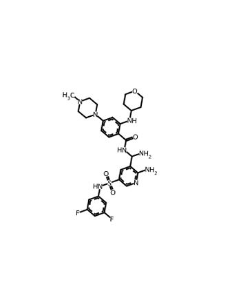 CN1CCN(c2ccc(C(=O)NC(N)c3cc(S(=O)(=O)Nc4cc(F)cc(F)c4)cnc3N)c(NC3CCOCC3)c2)CC1